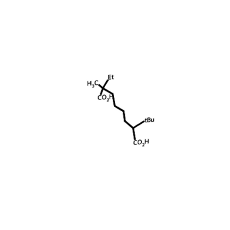 CCC(C)(CCCCC(C(=O)O)C(C)(C)C)C(=O)O